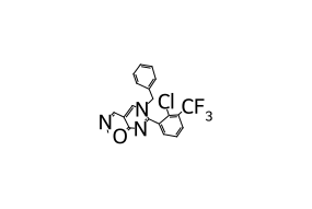 C/N=C\c1cn(Cc2ccccc2)c(-c2cccc(C(F)(F)F)c2Cl)nc1=O